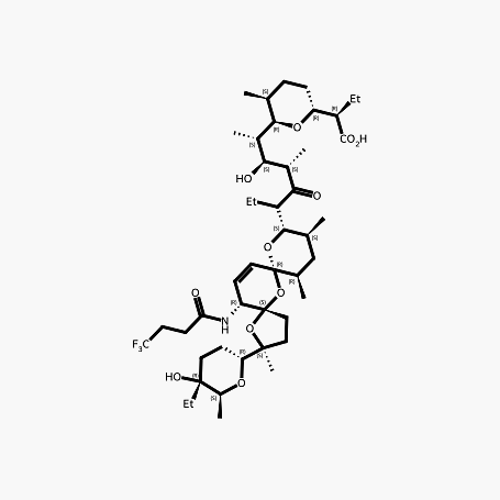 CCC(C(=O)[C@@H](C)[C@@H](O)[C@H](C)[C@@H]1O[C@@H]([C@@H](CC)C(=O)O)CC[C@@H]1C)[C@H]1O[C@]2(C=C[C@@H](NC(=O)CCC(F)(F)F)[C@]3(CC[C@@](C)([C@H]4CC[C@](O)(CC)[C@H](C)O4)O3)O2)[C@H](C)C[C@@H]1C